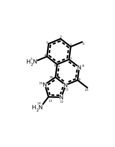 Cc1ccc(N)c2c1nc(C)n1nc(N)nc21